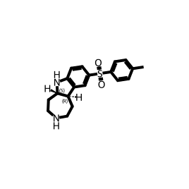 Cc1ccc(S(=O)(=O)c2ccc3c(c2)[C@H]2CCNCC[C@@H]2N3)cc1